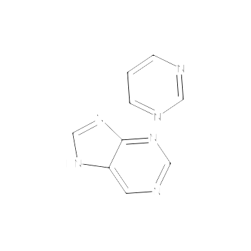 c1cncnc1.c1ncc2[nH]cnc2n1